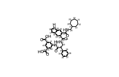 O=C(O)c1cc(NC(=O)C(CNC(=O)c2cc3cc[nH]c3cc2C(=O)NCC2CCCCCC2)c2ccccc2)cc(C(=O)O)c1